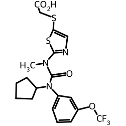 CN(C(=O)N(c1cccc(OC(F)(F)F)c1)C1CCCC1)c1ncc(SCC(=O)O)s1